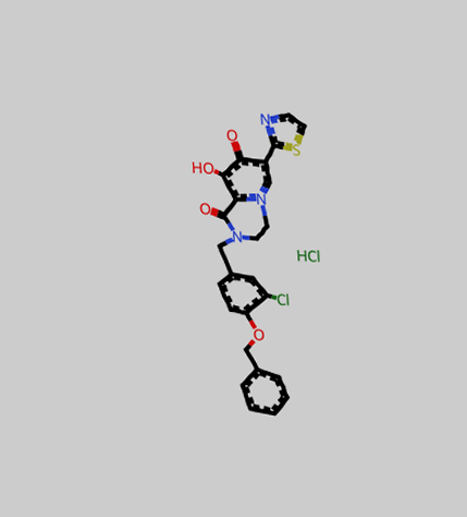 Cl.O=C1c2c(O)c(=O)c(-c3nccs3)cn2CCN1Cc1ccc(OCc2ccccc2)c(Cl)c1